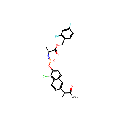 COC(=O)[C@@H](C)c1ccc2c(Cl)c(O/[P+]([O-])=N/[C@@H](C)C(=O)OCc3ccc(F)cc3F)ccc2c1